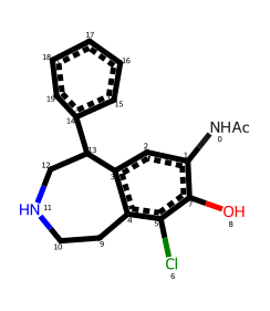 CC(=O)Nc1cc2c(c(Cl)c1O)CCNCC2c1ccccc1